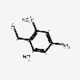 Cl.Nc1ccc(CCl)c(C(=O)O)c1